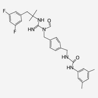 Cc1cc(C)cc(NC(=O)NCc2ccc(CN(C=O)C(=N)NC(C)(C)Cc3cc(F)cc(F)c3)cc2)c1